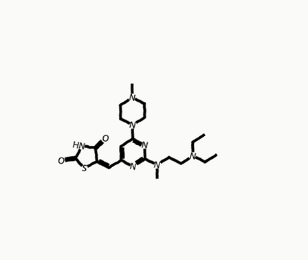 CCN(CC)CCN(C)c1nc(/C=C2/SC(=O)NC2=O)cc(N2CCN(C)CC2)n1